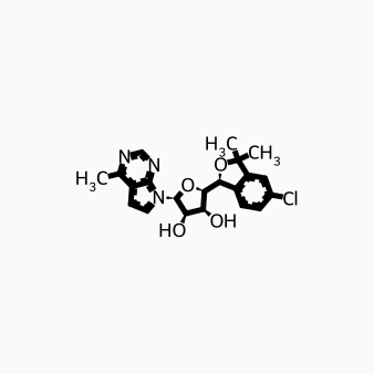 Cc1ncnc2c1ccn2[C@@H]1O[C@H]([C@@H]2OC(C)(C)c3cc(Cl)ccc32)[C@@H](O)[C@H]1O